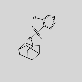 O=S(=O)(NC12CC3CC(CC(C3)C1)C2)c1ccccc1Cl